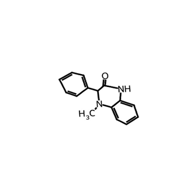 CN1c2ccccc2NC(=O)C1c1ccccc1